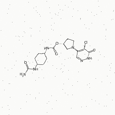 NC(=O)NC1CCC(NC(=O)O[C@@H]2CCN(c3cn[nH]c(=O)c3Cl)C2)CC1